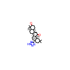 CC1(C)CC[C@]2(c3nn[nH]n3)CC[C@]3(C)[C@H](C(=O)C=C4[C@@]5(C)CCC(=O)C(C)(C)[C@@H]5CC[C@]43C)[C@@H]2C1